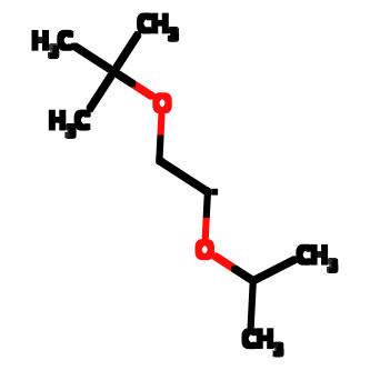 CC(C)O[CH]COC(C)(C)C